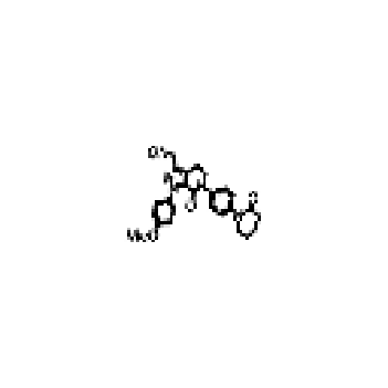 COc1ccc(-n2nc(CN=O)c3c2C(=O)N(c2ccc(N4CCCCC4=O)cc2)CC3)cc1